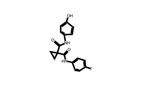 O=C(Nc1ccc(O)cc1)C1(C(=O)Nc2ccc(F)cc2)CC1